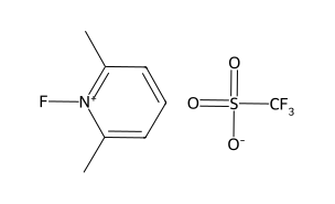 Cc1cccc(C)[n+]1F.O=S(=O)([O-])C(F)(F)F